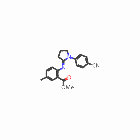 COC(=O)c1cc(C)ccc1N=C1CCCN1c1ccc(C#N)cc1